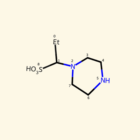 CCC(N1CCNCC1)S(=O)(=O)O